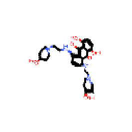 O=C1c2c(O)ccc(O)c2C(=O)c2c(NCCN3CCC(O)CC3)ccc(NCCN3CCC(O)CC3)c21